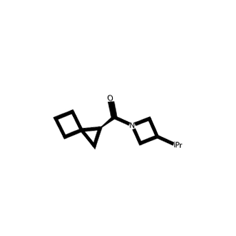 CC(C)C1CN(C(=O)[C@H]2CC23CCC3)C1